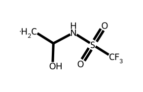 [CH2]C(O)NS(=O)(=O)C(F)(F)F